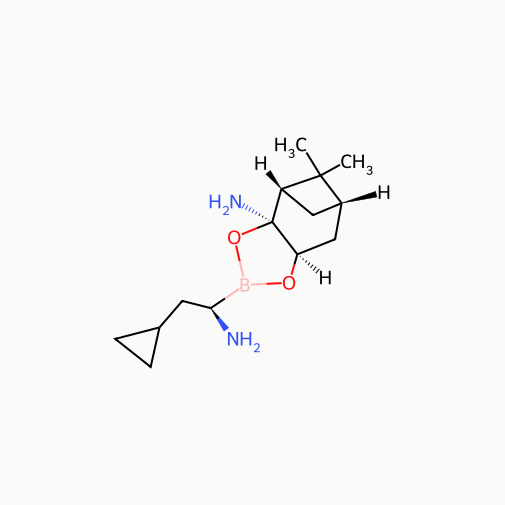 CC1(C)[C@@H]2C[C@H]3OB([C@@H](N)CC4CC4)O[C@@]3(N)[C@H]1C2